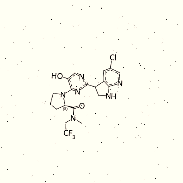 CN(CC(F)(F)F)C(=O)[C@H]1CCCN1c1nc(C2CNc3ncc(Cl)cc32)ncc1O